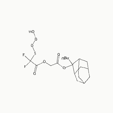 CCCCC1(OC(=O)COC(=O)C(F)(F)SOOO)C2CC3CC(C2)CC1C3